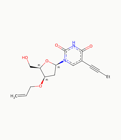 C=CCO[C@@H]1C[C@H](n2cc(C#CCC)c(=O)[nH]c2=O)O[C@@H]1CO